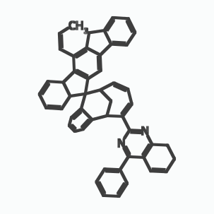 C/C=C\c1c2c(cc3c1C1C=CC=CC1C31c3ccccc3C3CC1C=CC=C3c1nc3c(c(-c4ccccc4)n1)C=CCC3)-c1ccccc1C2